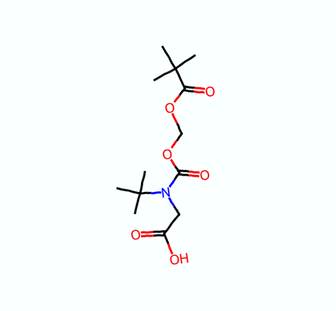 CC(C)(C)C(=O)OCOC(=O)N(CC(=O)O)C(C)(C)C